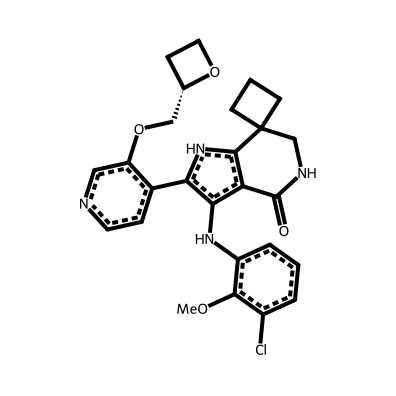 COc1c(Cl)cccc1Nc1c(-c2ccncc2OC[C@@H]2CCO2)[nH]c2c1C(=O)NCC21CCC1